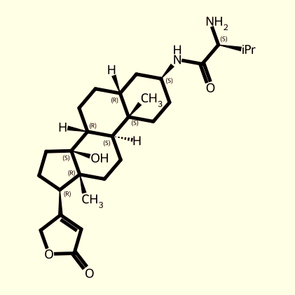 CC(C)[C@H](N)C(=O)N[C@H]1CC[C@@]2(C)[C@H](CC[C@@H]3[C@@H]2CC[C@]2(C)[C@@H](C4=CC(=O)OC4)CC[C@]32O)C1